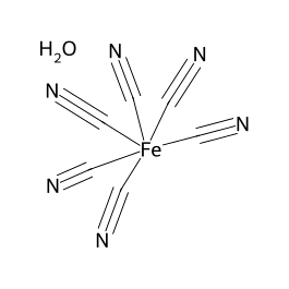 N#[C][Fe]([C]#N)([C]#N)([C]#N)([C]#N)[C]#N.O